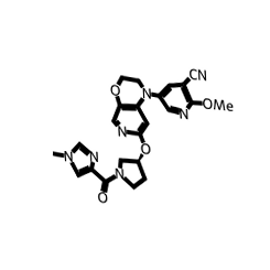 COc1ncc(N2CCOc3cnc(O[C@H]4CCN(C(=O)c5cn(C)cn5)C4)cc32)cc1C#N